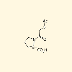 CC(=O)SCC(=O)N1CCC[C@H]1C(=O)O